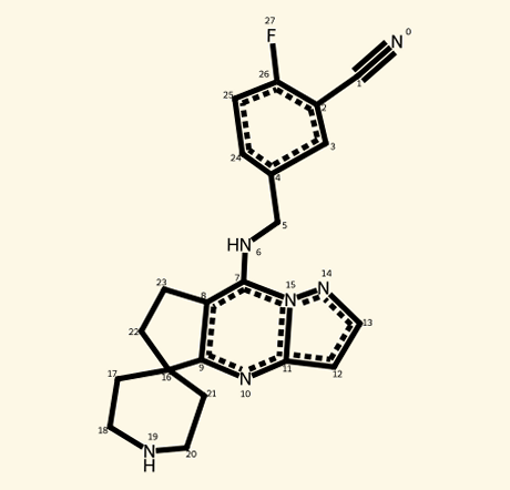 N#Cc1cc(CNc2c3c(nc4ccnn24)C2(CCNCC2)CC3)ccc1F